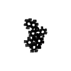 c1ccc(N(c2ccccc2)c2c(N(c3ccccc3)c3cccc4sc5ccccc5c34)ccc3c2oc2ccc4ccccc4c23)cc1